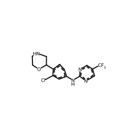 FC(F)(F)c1cnc(Nc2ccc(C3CNCCO3)c(Cl)c2)nc1